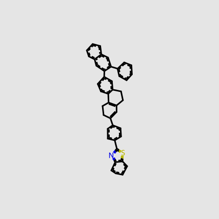 C1=C(c2ccc(-c3nc4ccccc4s3)cc2)CCC2=C1CCc1cc(-c3cc4ccccc4cc3-c3ccccc3)ccc12